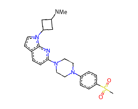 CNC1CC(n2ccc3ccc(N4CCN(c5ccc(S(C)(=O)=O)cc5)CC4)nc32)C1